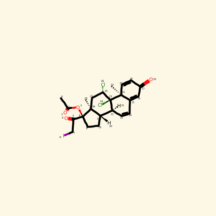 CC(=O)O[C@]1(C(=O)CI)CC[C@H]2[C@@H]3C=CC4=CC(=O)C=C[C@]4(C)[C@@]3(Cl)[C@@H](Cl)C[C@@]21C